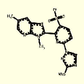 CCS(=O)(=O)c1ccc(-n2cnc(SC)n2)nc1-c1nc2cc(C)cnc2n1C